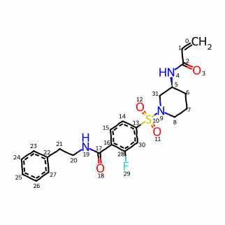 C=CC(=O)N[C@H]1CCCN(S(=O)(=O)c2ccc(C(=O)NCCc3ccccc3)c(F)c2)C1